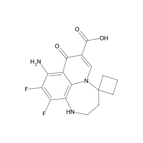 Nc1c(F)c(F)c2c3c1c(=O)c(C(=O)O)cn3C1(CCC1)CCN2